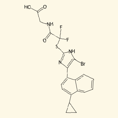 O=C(O)CNC(=O)C(F)(F)Sc1nc(-c2ccc(C3CC3)c3ccccc23)c(Br)[nH]1